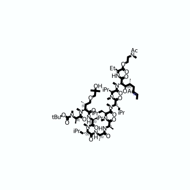 C/C=C/C[C@@H](C)[C@@H](OC(C)=O)[C@@H](C(=O)N[C@@H](CC)C(=O)OCCN(C)C(C)=O)N(C)C(=O)[C@H](C(C)C)N(C)C(=O)[C@H](CC(C)C)N(C)C(=O)[C@H](CC(C)C)N(C)C(=O)[C@@H](C)NC(=O)[C@H](C)NC(=O)[C@H](CC(C)C)N(C)C(=O)[C@@H](NC(=O)[C@H]([C@H](C)COCC(C)(C)O)N(C)C(=O)[C@@H](C)N(C)C(=O)OC(C)(C)C)C(C)C